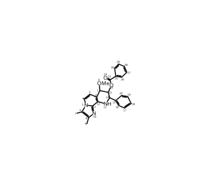 COC1c2ccn3c(C)c(C)nc3c2NC(c2ccccc2)C1OC(=O)c1ccccc1